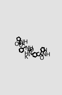 O=C(CN[C@@H](CCNC1(C(=O)[O-])CCCC1)c1ccccc1)Nc1ccc2c(c1)C[C@@]1(C2)C(=O)Nc2ncccc21.[K+]